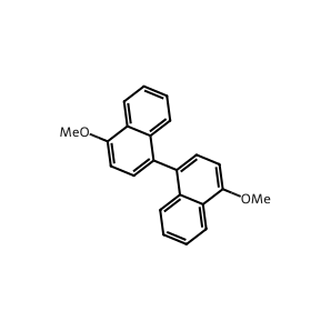 COc1ccc(-c2ccc(OC)c3ccccc23)c2ccccc12